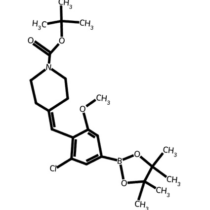 COc1cc(B2OC(C)(C)C(C)(C)O2)cc(Cl)c1C=C1CCN(C(=O)OC(C)(C)C)CC1